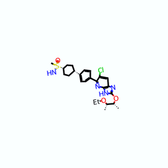 CCO[C@@H](C)[C@@H](C)Oc1nc2cc(Cl)c(-c3ccc([C@H]4CC[C@@H](S(C)(=N)=O)CC4)cc3)nc2[nH]1